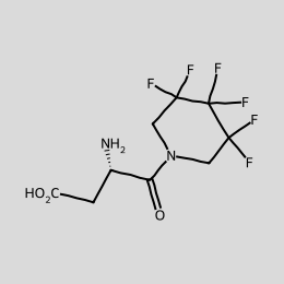 N[C@@H](CC(=O)O)C(=O)N1CC(F)(F)C(F)(F)C(F)(F)C1